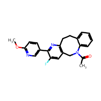 COc1ccc(-c2nc3c(cc2F)CN(C(C)=O)c2ccccc2CC3)cn1